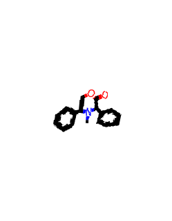 CN1C(c2ccccc2)=COC(=O)C1c1ccccc1